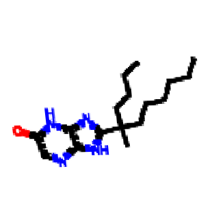 CCCCCCC(C)(CCCC)c1nc2[nH]c(=O)cnc2[nH]1